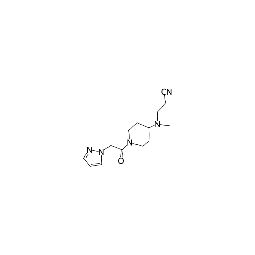 CN(CCC#N)C1CCN(C(=O)Cn2cccn2)CC1